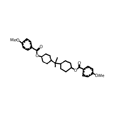 COc1ccc(C(=O)OC2CCC(C(C)(C)C3CCC(OC(=O)c4ccc(OC)cc4)CC3)CC2)cc1